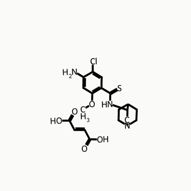 COc1cc(N)c(Cl)cc1C(=S)NC1CN2CCC1CC2.O=C(O)C=CC(=O)O